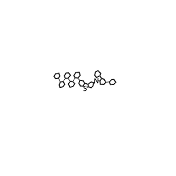 c1ccc(-c2ccc3c(c2)c2ccccc2n3-c2ccc3sc4ccc(-c5ccccc5-c5ccccc5-c5ccccc5-c5ccccc5-c5ccccc5)cc4c3c2)cc1